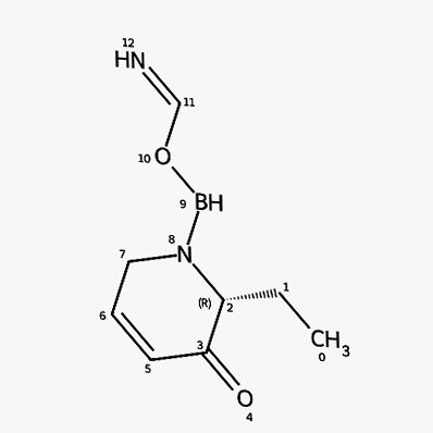 CC[C@@H]1C(=O)C=CCN1BOC=N